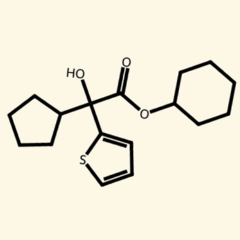 O=C(OC1CCCCC1)C(O)(c1cccs1)C1CCCC1